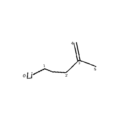 [Li][CH2]CC(=C)C